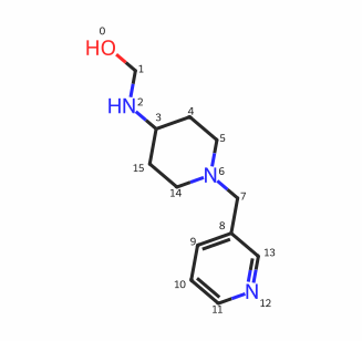 OCNC1CCN(Cc2cccnc2)CC1